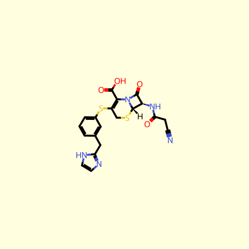 N#CCC(=O)N[C@@H]1C(=O)N2C(C(=O)O)=C(Sc3cccc(Cc4ncc[nH]4)c3)CS[C@@H]12